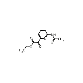 CCOC(=O)C(=O)C1=CCCC(NC(C)=O)=N1